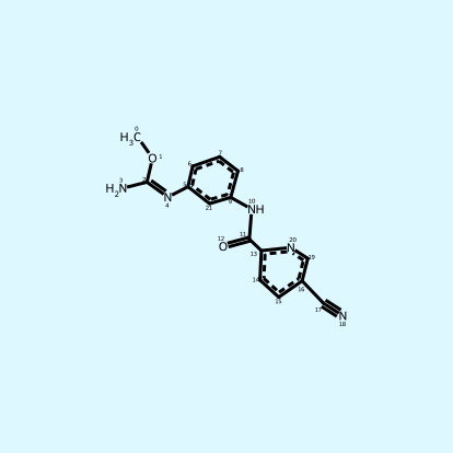 CO/C(N)=N\c1cccc(NC(=O)c2ccc(C#N)cn2)c1